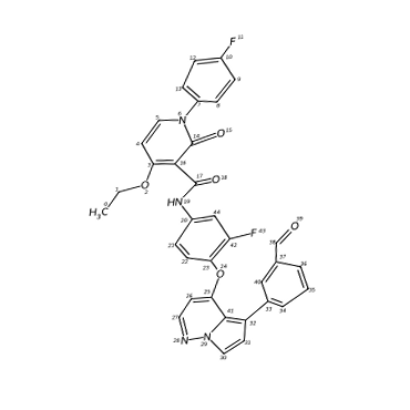 CCOc1ccn(-c2ccc(F)cc2)c(=O)c1C(=O)Nc1ccc(Oc2ccnn3ccc(-c4cccc(C=O)c4)c23)c(F)c1